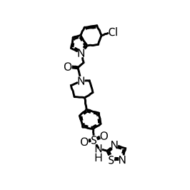 O=C(Cn1ccc2c1CC(Cl)C=C2)N1CCC(c2ccc(S(=O)(=O)Nc3ncns3)cc2)CC1